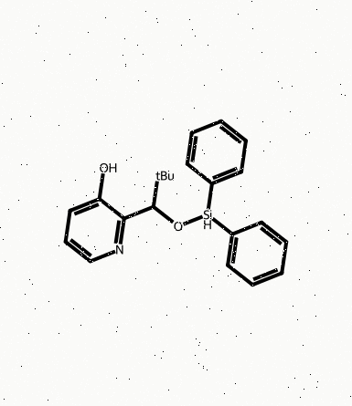 CC(C)(C)C(O[SiH](c1ccccc1)c1ccccc1)c1ncccc1O